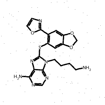 NCCCCn1c(Sc2cc3c(cc2-c2ncco2)OCO3)nc2c(N)ncnc21